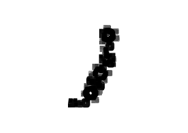 COc1ccc(S(=O)(=O)N2CCN(c3nc(COc4cccnc4)no3)CC2)cc1